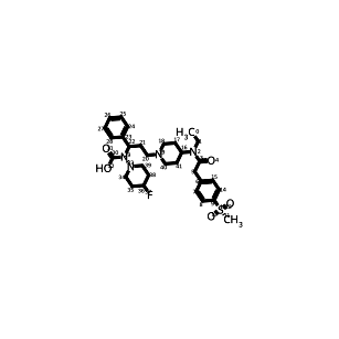 CCN(C(=O)Cc1ccc(S(C)(=O)=O)cc1)C1CCN(CCC(c2ccccc2)N(C(=O)O)N2CCC(F)CC2)CC1